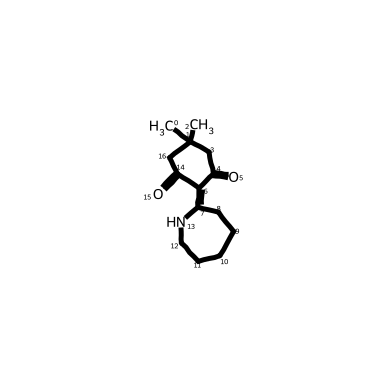 CC1(C)CC(=O)C(=C2CCCCCN2)C(=O)C1